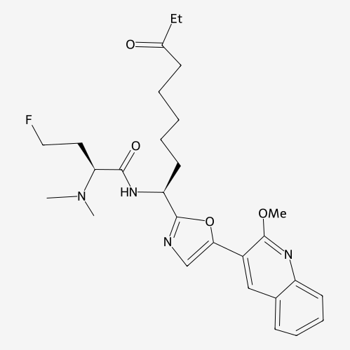 CCC(=O)CCCCC[C@H](NC(=O)[C@H](CCF)N(C)C)c1ncc(-c2cc3ccccc3nc2OC)o1